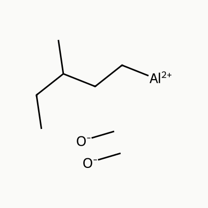 CCC(C)C[CH2][Al+2].C[O-].C[O-]